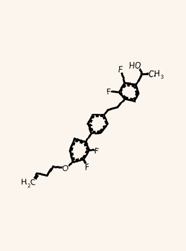 C=CCCOc1ccc(-c2ccc(CCc3ccc(C(C)O)c(F)c3F)cc2)c(F)c1F